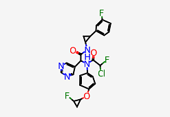 O=C(NC1CC1c1cccc(F)c1)C(c1cncnc1)N(C(=O)C(F)Cl)c1ccc(OC2CC2F)cc1